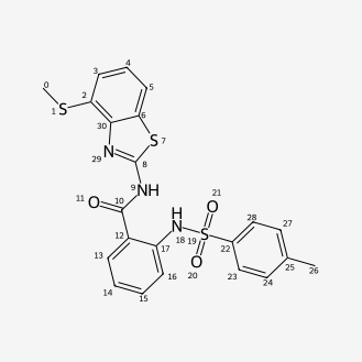 CSc1cccc2sc(NC(=O)c3ccccc3NS(=O)(=O)c3ccc(C)cc3)nc12